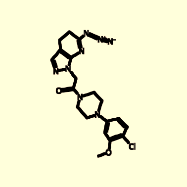 COc1cc(N2CCN(C(=O)Cn3ncc4c3N=C(N=[N+]=[N-])CC4)CC2)ccc1Cl